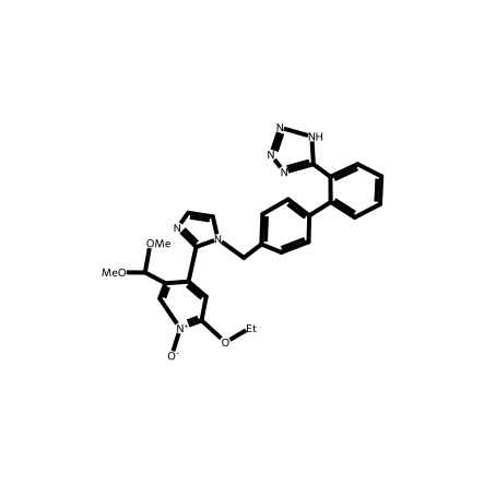 CCOc1cc(-c2nccn2Cc2ccc(-c3ccccc3-c3nnn[nH]3)cc2)c(C(OC)OC)c[n+]1[O-]